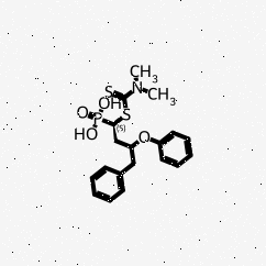 CN(C)C(=S)S[C@@H](CC(Cc1ccccc1)Oc1ccccc1)P(=O)(O)O